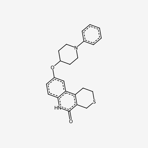 O=c1[nH]c2ccc(OC3CCN(c4ccccc4)CC3)cc2c2c1CSCC2